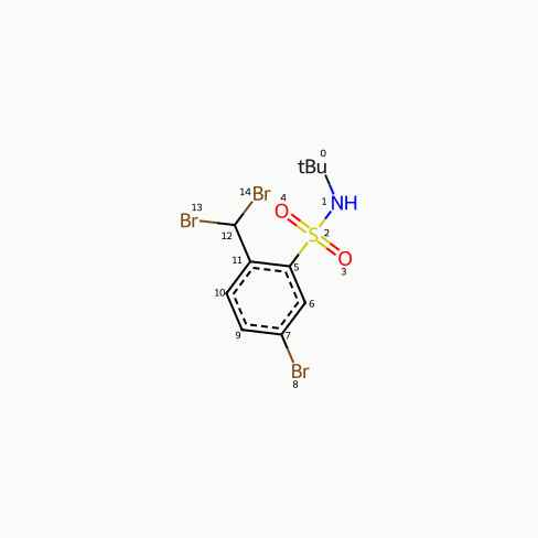 CC(C)(C)NS(=O)(=O)c1cc(Br)ccc1C(Br)Br